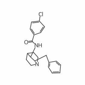 O=C(NC1C2CCN(CC2)C1Cc1ccccc1)c1ccc(Cl)cc1